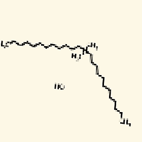 CCCCCCCCCCCC[N+](C)(C)CCCCCCCCCCCC.[OH-]